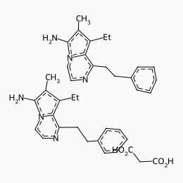 CCc1c(C)c(N)n2ccnc(CCc3ccccc3)c12.CCc1c(C)c(N)n2ccnc(CCc3ccccc3)c12.O=C(O)CC(=O)O